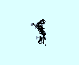 C=CCNC(=O)c1ccn(S(=O)(=O)c2ccc3c(c2)nc(C(C)C)n3CC2CCOCC2)c1